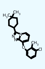 Cc1c(Cl)cccc1Oc1cccn2c(C3CCC(C)(C)CC3)nnc12